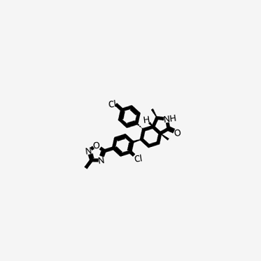 Cc1noc(-c2ccc([C@@H]3CC[C@@]4(C)C(=O)N[C@H](C)[C@H]4[C@H]3c3ccc(Cl)cc3)c(Cl)c2)n1